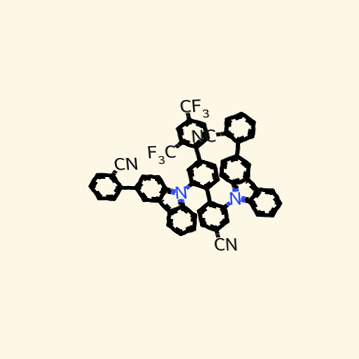 N#Cc1ccc(-c2ccc(-c3ccc(C(F)(F)F)cc3C(F)(F)F)cc2-n2c3ccccc3c3cc(-c4ccccc4C#N)ccc32)c(-n2c3ccccc3c3cc(-c4ccccc4C#N)ccc32)c1